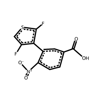 O=C(O)c1ccc([N+](=O)[O-])c(-c2c(F)csc2F)c1